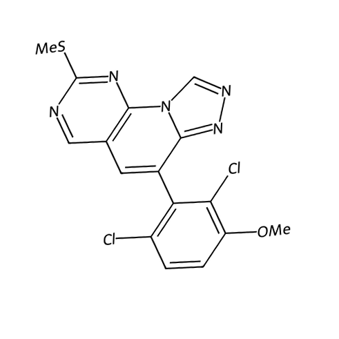 COc1ccc(Cl)c(-c2cc3cnc(SC)nc3n3cnnc23)c1Cl